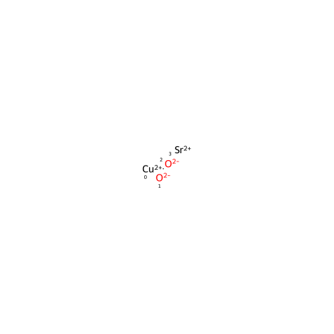 [Cu+2].[O-2].[O-2].[Sr+2]